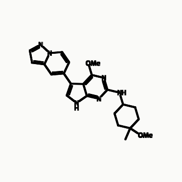 COc1nc(NC2CCC(C)(OC)CC2)nc2[nH]cc(-c3ccn4nccc4c3)c12